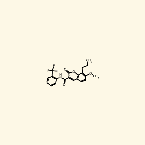 CCCc1c(OC)ccc2cc(C(=O)Nc3ccncc3C(F)(F)F)c(=O)oc12